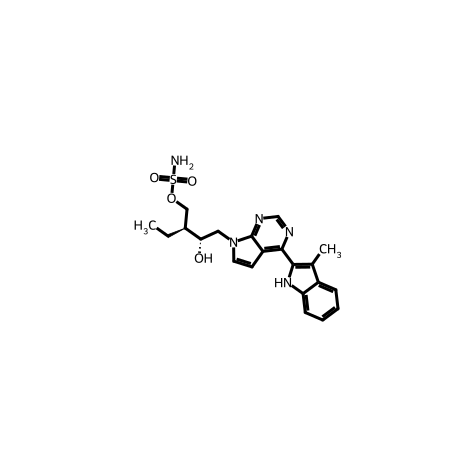 CC[C@@H](COS(N)(=O)=O)[C@@H](O)Cn1ccc2c(-c3[nH]c4ccccc4c3C)ncnc21